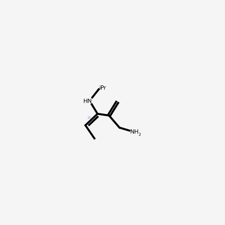 C=C(CN)/C(=C\C)NC(C)C